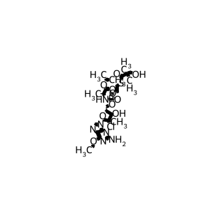 CCOc1nc(N)nc2c1ncn2[C@@H]1O[C@H](CO[P@](=O)(N[C@H](C)C(=O)OC(C)C)OCCSC(=O)C(C)(C)CO)[C@@H](O)[C@@]1(C)Cl